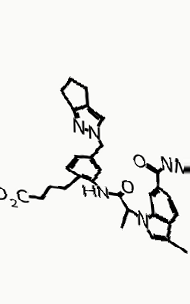 CNC(=O)c1ccc2c(C)cn(C(C)C(=O)Nc3cc(Cn4cc5c(n4)CCC5)ccc3CCCC(=O)O)c2c1